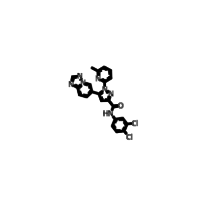 Cc1cccc(-n2nc(C(=O)Nc3ccc(Cl)c(Cl)c3)cc2-c2ccc3ncnn3c2)n1